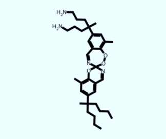 CCCCC(C)(CCCC)c1cc(C)c2c(c1)C=NC1(N=Cc3cc(C(C)(CCCN)CCCN)cc(C)c3OO1)O2